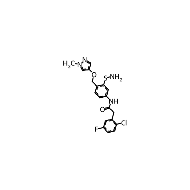 Cn1cc(OCc2ccc(NC(=O)Cc3cc(F)ccc3Cl)cc2SN)cn1